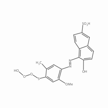 COc1cc(SOOO)c(C)cc1N=Nc1c(O)ccc2cc(S(=O)(=O)O)ccc12